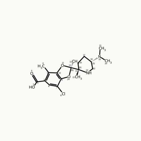 Cc1c(C(=O)O)cc(Cl)c2c1O[C@@](C)([C@]1(C)CC[C@H](N(C)C)CN1)O2